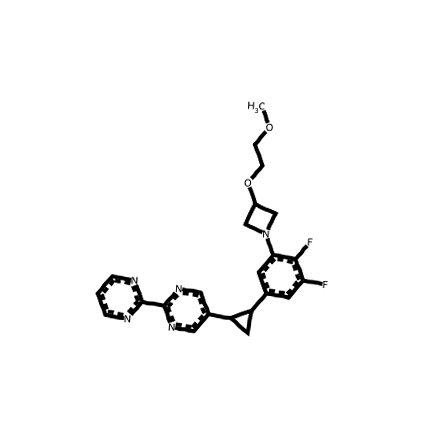 COCCOC1CN(c2cc(C3CC3c3cnc(-c4ncccn4)nc3)cc(F)c2F)C1